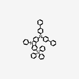 c1ccc(-c2ccc(N(c3ccc(-c4ccccc4)cc3)c3ccc4c(c3)c3cc([Si](c5ccccc5)(c5ccccc5)c5ccccc5)ccc3n4-c3ccccc3)cc2)cc1